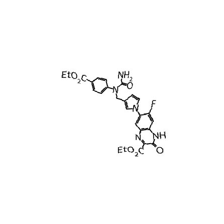 CCOC(=O)c1ccc(N(Cc2ccn(-c3cc4nc(C(=O)OCC)c(=O)[nH]c4cc3F)c2)C(N)=O)cc1